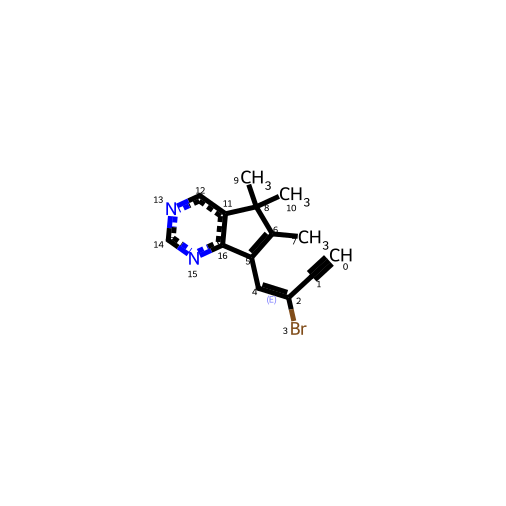 C#C/C(Br)=C\C1=C(C)C(C)(C)c2cncnc21